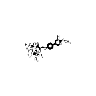 CSC1=NCC(c2ccc(OC[C@@H](O[Si](C)(C)C(C)(C)C)C(=O)OC(C)(C)C)cc2)CN1